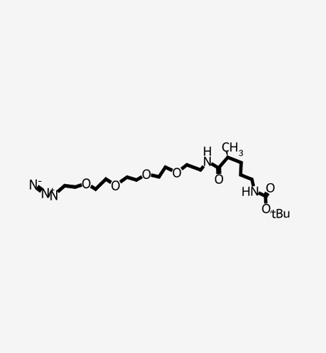 C[C@H](CCCNC(=O)OC(C)(C)C)C(=O)NCCOCCOCCOCCOCCN=[N+]=[N-]